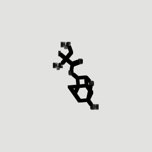 CCC(C)(I)C(=O)OC1C2OC3(O)CC4CC41C2C3